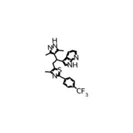 Cc1nc(-c2ccc(C(F)(F)F)cc2)sc1CC(c1c(C)n[nH]c1C)c1c[nH]c2ncccc12